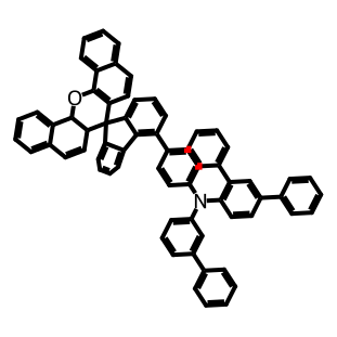 C1=CC2C(Oc3c(ccc4ccccc34)C23c2ccccc2-c2c(-c4ccc(N(c5cccc(-c6ccccc6)c5)c5ccc(-c6ccccc6)cc5-c5ccccc5)cc4)cccc23)c2ccccc21